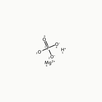 O=P([O-])([O-])[O-].[H+].[Mg+2]